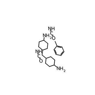 Cc1ccccc1.N=C=O.N=C=O.NC1CCC(CC2CCC(N)CC2)CC1